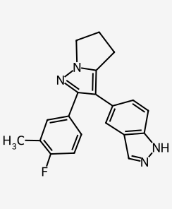 Cc1cc(-c2nn3c(c2-c2ccc4[nH]ncc4c2)CCC3)ccc1F